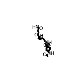 CC(=O)Nc1ccc(S(=O)(=O)NCCc2ccc(C(=O)CCC(=O)O)n2C)cc1